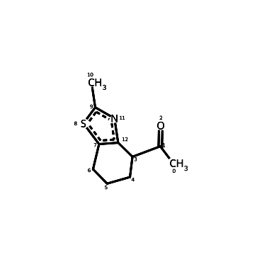 CC(=O)C1CCCc2sc(C)nc21